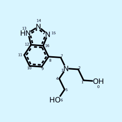 OCCN(CCO)Cc1cccc2[nH]nnc12